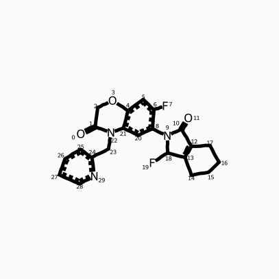 O=C1COc2cc(F)c(N3C(=O)C4=C(CCCC4)C3F)cc2N1Cc1ccccn1